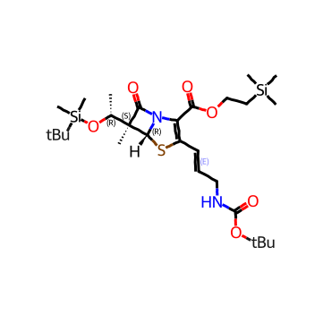 C[C@@H](O[Si](C)(C)C(C)(C)C)[C@@]1(C)C(=O)N2C(C(=O)OCC[Si](C)(C)C)=C(/C=C/CNC(=O)OC(C)(C)C)S[C@@H]21